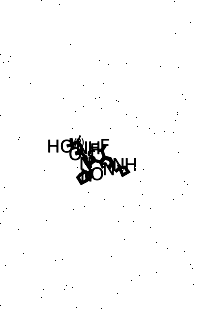 C[C@@H](NC(=O)c1nc(C(=O)N2C3CCC2CC3)c(-c2cnc(NC3(C)CCC3)cc2C(F)F)s1)C(C)(C)O